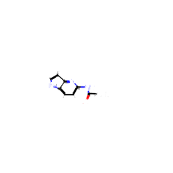 CC(=O)Nc1ccc2[nH]ccc2n1